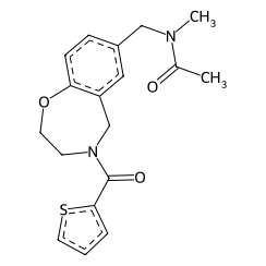 CC(=O)N(C)Cc1ccc2c(c1)CN(C(=O)c1cccs1)CCO2